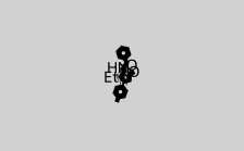 CC[C@H]1[C@H](c2ccc(C)cc2)CC(=O)N1NC(=O)c1ccccc1